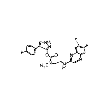 CN(CCNc1cnc2cc(F)c(F)cc2n1)C(=O)Oc1n[nH]cc1-c1ccc(F)cc1